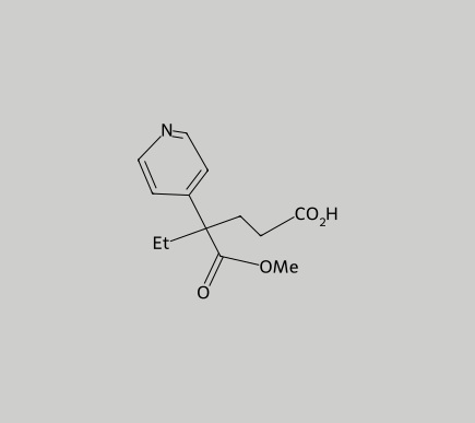 CCC(CCC(=O)O)(C(=O)OC)c1ccncc1